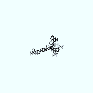 CC(C)Sc1ccc(OC(F)F)c(-c2nn(CC(=O)N3CCN(C4CCN(CC(=O)N(C)C)CC4)CC3)cc2NC(=O)c2cnn3cccnc23)c1